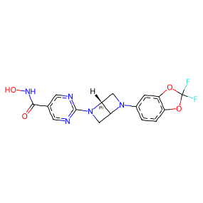 O=C(NO)c1cnc(N2CC3[C@H]2CN3c2ccc3c(c2)OC(F)(F)O3)nc1